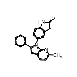 Cc1ccc2cc(-c3ccccc3)n(-c3ccc4c(c3)CC(=O)N4)c2n1